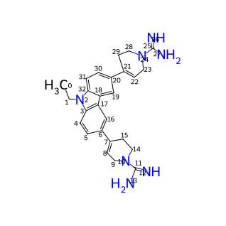 CCn1c2ccc(C3=CCN(C(=N)N)CC3)cc2c2cc(C3=CCN(C(=N)N)CC3)ccc21